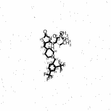 CC[C@H](NC1=NC(=O)SC1=CC1CCN(Cc2ccc(C(F)(F)F)cc2C(F)(F)F)CC1)C(=O)N(C)C